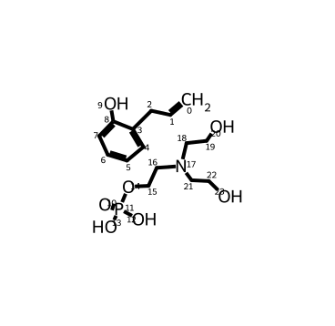 C=CCc1ccccc1O.O=P(O)(O)OCCN(CCO)CCO